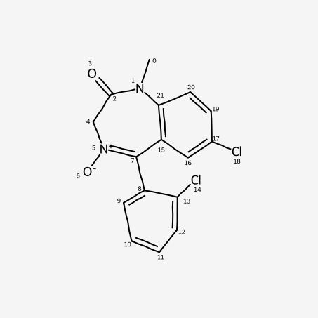 CN1C(=O)C[N+]([O-])=C(c2ccccc2Cl)c2cc(Cl)ccc21